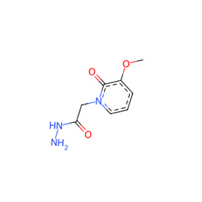 COc1cccn(CC(=O)NN)c1=O